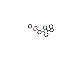 c1ccc(-c2ccc(-c3cccc(-c4c5ccccc5c(-c5cccc6ccccc56)c5ccccc45)c3)o2)cc1